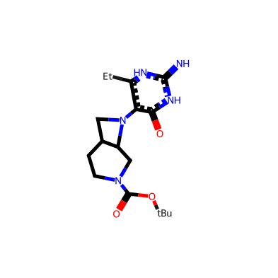 CCc1[nH]c(=N)[nH]c(=O)c1N1CC2CCN(C(=O)OC(C)(C)C)CC21